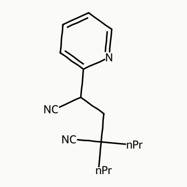 CCCC(C#N)(CCC)CC(C#N)c1ccccn1